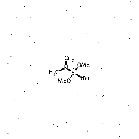 CO[Si](OC)(N(C)C)C(C)(C)C